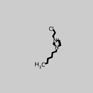 CCCCCCn1cc[n+](CCCl)c1